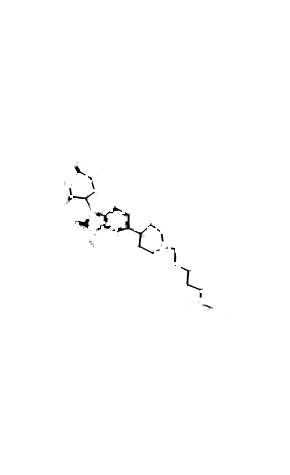 CNCCCCCN1CCC(c2ccc3c(c2)n(C)c(=O)n3C2CCC(=O)NC2=O)CC1